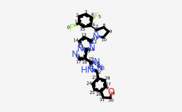 Fc1ccc(F)c([C@H]2CCCN2c2ccn3ncc(-c4nnc(-c5ccc6c(c5)OCC6)[nH]4)c3n2)c1